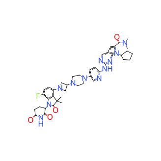 CN(C)C(=O)c1cc2cnc(Nc3ccc(N4CCN(C5CN(c6ccc(F)c7c6C(C)(C)C(=O)N7[C@@H]6CCC(=O)NC6=O)C5)CC4)cn3)nc2n1C1CCCC1